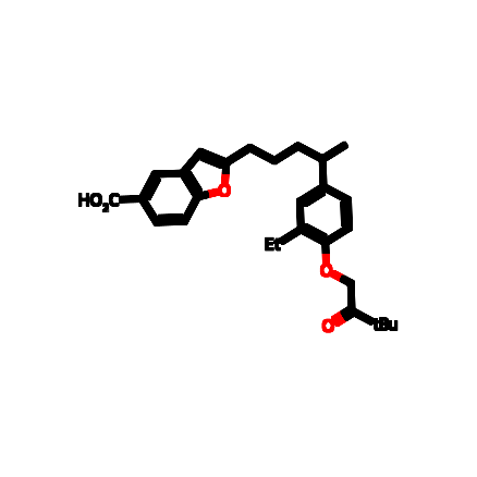 CCc1cc(C(C)CCCc2cc3cc(C(=O)O)ccc3o2)ccc1OCC(=O)C(C)(C)C